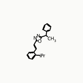 CC(C)c1ccccc1/C=C/c1nnc(C(C)c2ccccc2)o1